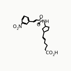 O=C(O)CCC/C=C/C1CCC(NS(=O)(=O)/C=C/c2cccc([N+](=O)[O-])c2)C1